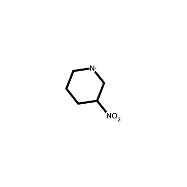 O=[N+]([O-])C1CCC[N]C1